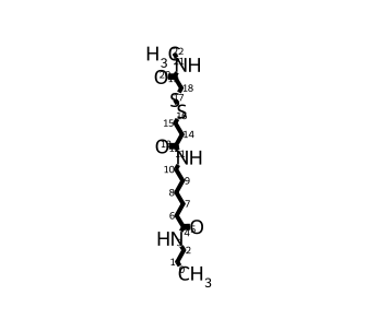 CCCNC(=O)CCCCCNC(=O)CCSSCC(=O)NC